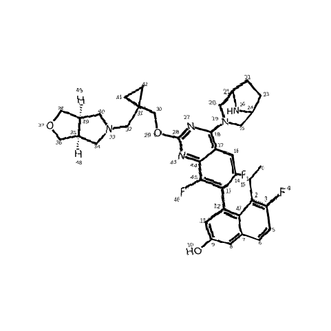 CCc1c(F)ccc2cc(O)cc(-c3c(F)cc4c(N5CC6CCC(C5)N6)nc(OCC5(CN6C[C@H]7COC[C@H]7C6)CC5)nc4c3F)c12